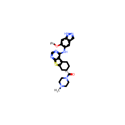 CC(C)Oc1cc2[nH]ncc2cc1Nc1ncnc2sc3c(c12)CC[C@H](C(=O)N1CCN(C)CC1)C3